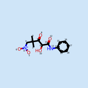 CC(C)(C[N+](=O)[O-])C(=O)C(O)C(=O)Nc1ccccc1